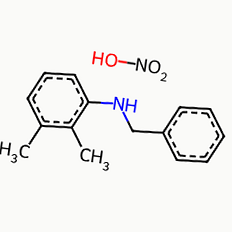 Cc1cccc(NCc2ccccc2)c1C.O=[N+]([O-])O